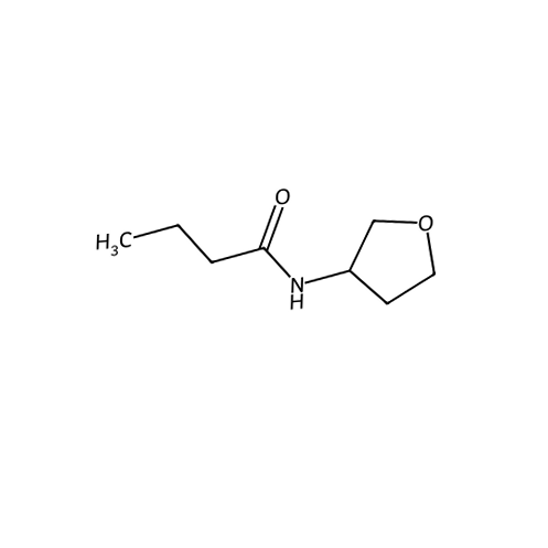 CCCC(=O)NC1CCOC1